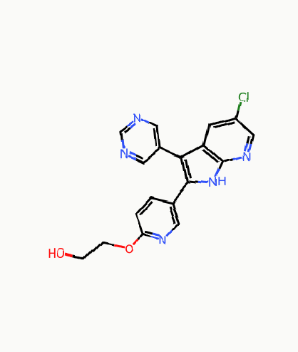 OCCOc1ccc(-c2[nH]c3ncc(Cl)cc3c2-c2cncnc2)cn1